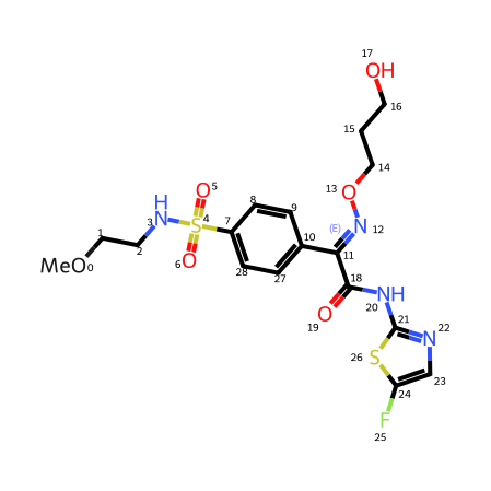 COCCNS(=O)(=O)c1ccc(/C(=N\OCCCO)C(=O)Nc2ncc(F)s2)cc1